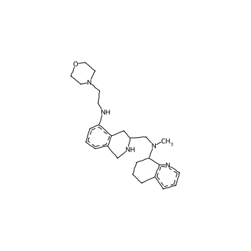 CN(CC1Cc2c(cccc2NCCN2CCOCC2)CN1)C1CCCc2cccnc21